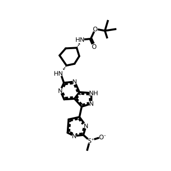 C[S+]([O-])c1nccc(-c2n[nH]c3nc(N[C@H]4CC[C@@H](NC(=O)OC(C)(C)C)CC4)ncc23)n1